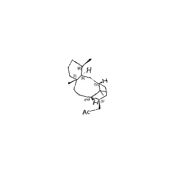 CC(=O)C[C@@H]1CC[C@H]2C[C@@H]3[C@H](C)CCC[C@@]3(C)CC[C@@H]1C2(C)C